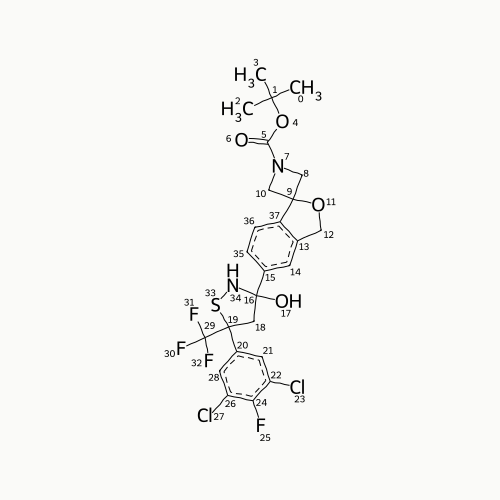 CC(C)(C)OC(=O)N1CC2(C1)OCc1cc(C3(O)CC(c4cc(Cl)c(F)c(Cl)c4)(C(F)(F)F)SN3)ccc12